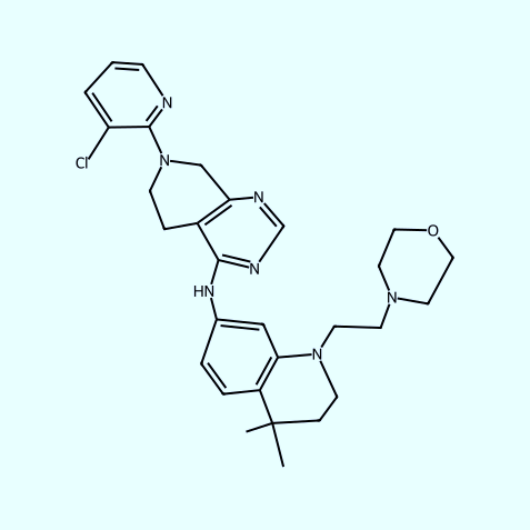 CC1(C)CCN(CCN2CCOCC2)c2cc(Nc3ncnc4c3CCN(c3ncccc3Cl)C4)ccc21